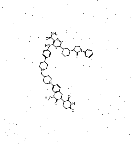 CN1C(=O)C(C2CCC(=O)NC2=O)Cc2ccc(N3CCC(CN4CCC(c5ccc(Nc6nc(N7CCCC(N8CCN(c9ccccc9)C8=O)C7)nnc6C(N)=O)cc5)CC4)CC3)cc21